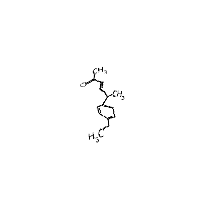 CCc1ccc(C(C)C=CC(C)=O)cc1